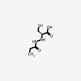 CCC(=O)NN[C@@H](CS)C(=O)O